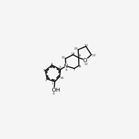 Oc1cccc(N2CCC3(CCCO3)CC2)c1